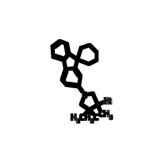 CCC1(C)CB(c2ccc3c(c2)C2(CCCCC2)c2ccccc2-3)CC1(C)C